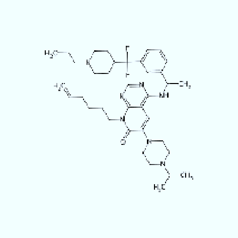 C=CCCCCn1c(=O)c(N2CCN(C(C)C)CC2)cc2c(N[C@H](C)c3cccc(C(F)(F)C4CCN(CC=C)CC4)c3)ncnc21